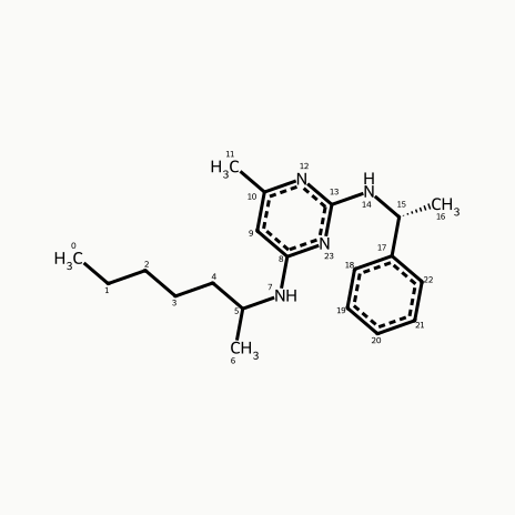 CCCCCC(C)Nc1cc(C)nc(N[C@H](C)c2ccccc2)n1